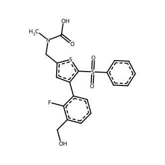 CN(Cc1cc(-c2cccc(CO)c2F)c(S(=O)(=O)c2ccccc2)s1)C(=O)O